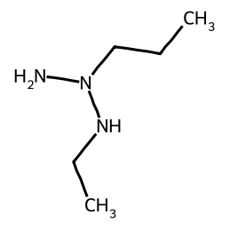 CCCN(N)NCC